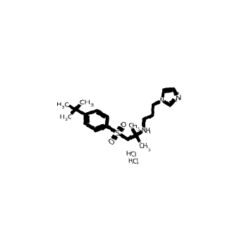 CC(C)(CS(=O)(=O)c1ccc(C(C)(C)C)cc1)NCCCn1ccnc1.Cl.Cl